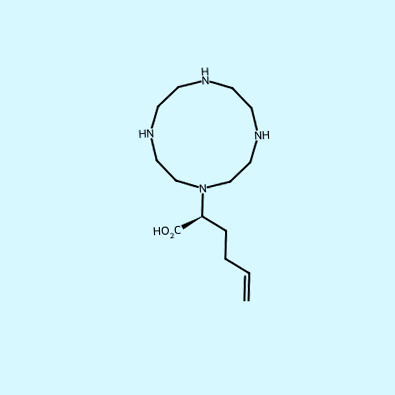 C=CCC[C@@H](C(=O)O)N1CCNCCNCCNCC1